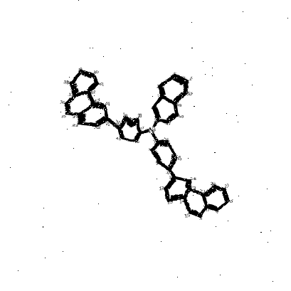 c1ccc2cc(N(c3ccc(-c4ccc5ccc6ccccc6c5c4)cc3)c3ccc(-c4ccc5ccc6ccccc6c5c4)cc3)ccc2c1